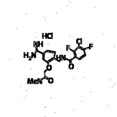 CNC(=O)COc1cc(C(=N)N)ccc1CNC(=O)c1ccc(F)c(Cl)c1F.Cl